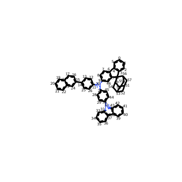 c1ccc2c(c1)-c1ccc(N(c3ccc(-c4ccc5ccccc5c4)cc3)c3ccc(-n4c5ccccc5c5ccccc54)cc3)cc1C21C2CC3CC(C2)CC1C3